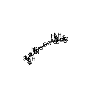 N[C@H]1C[C@@H](C(=O)NCCOCCOCCOCCNc2ncc(CN3CCCC(c4nc(=O)cc(-c5cccs5)[nH]4)C3)cn2)N(C(=O)c2ccc(S(=O)(=O)F)cc2)C1